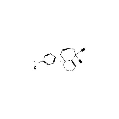 N#CC1(C#N)CC=C[C@@H](c2ccc([N+](=O)[O-])cc2)[C@@H]2CCCC=C21